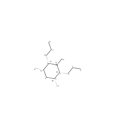 CCC[C@@H]1[C@H](C)C[C@H](C)[C@H](CCC)N1C